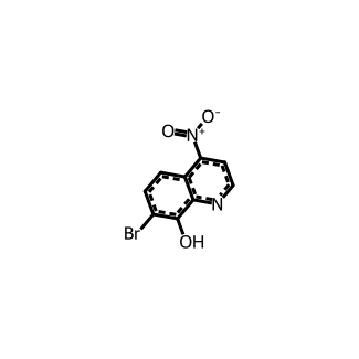 O=[N+]([O-])c1ccnc2c(O)c(Br)ccc12